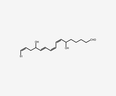 CC/C=C\CC(O)/C=C/C=C\C=C/C(O)CCCCC=O